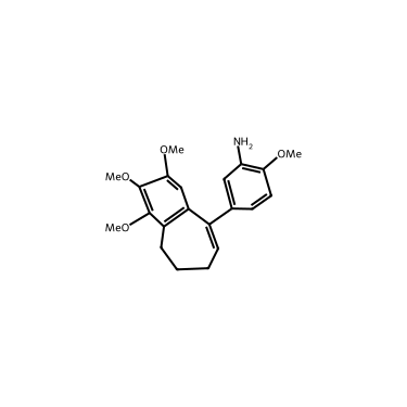 COc1ccc(C2=CCCCc3c2cc(OC)c(OC)c3OC)cc1N